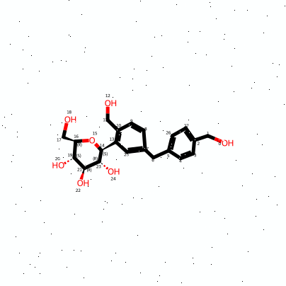 OCc1ccc(Cc2ccc(CO)c([C@@H]3O[C@H](CO)[C@@H](O)[C@H](O)[C@H]3O)c2)cc1